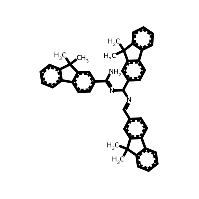 CC1(C)c2ccccc2-c2ccc(/C=N/C(/N=C(\N)c3ccc4c(c3)C(C)(C)c3ccccc3-4)c3ccc4c(c3)C(C)(C)c3ccccc3-4)cc21